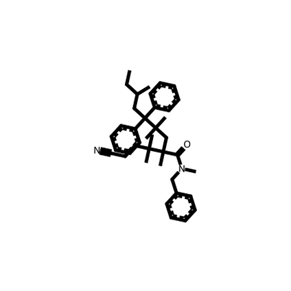 CCC(C)CC(c1ccccc1)(c1ccccc1)C(C)(C)CC(C)(C(=O)N(C)Cc1ccccc1)C(C)(C)CCC#N